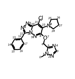 Cn1ncnc1COc1nn2c(-c3ccccc3)nnc2c(Cl)c1N1CCCC1